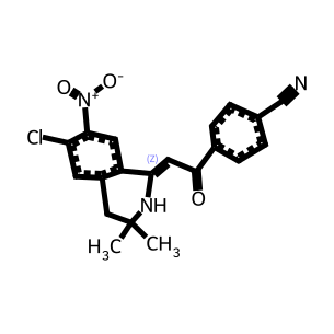 CC1(C)Cc2cc(Cl)c([N+](=O)[O-])cc2/C(=C/C(=O)c2ccc(C#N)cc2)N1